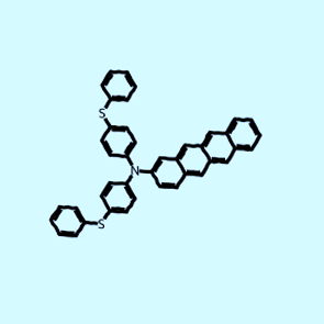 c1ccc(Sc2ccc(N(c3ccc(Sc4ccccc4)cc3)c3ccc4cc5cc6ccccc6cc5cc4c3)cc2)cc1